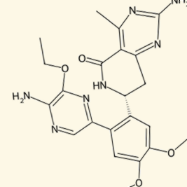 CCOc1nc(-c2cc(OC)c(OC)cc2[C@H]2Cc3nc(N)nc(C)c3C(=O)N2)cnc1N